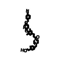 Cc1cc(/C=C/C(=O)N2CCN(Cc3ccc(CCO)cc3)CC2)cc(C)c1Oc1ccc(OCc2ccc(C#N)cc2)cn1